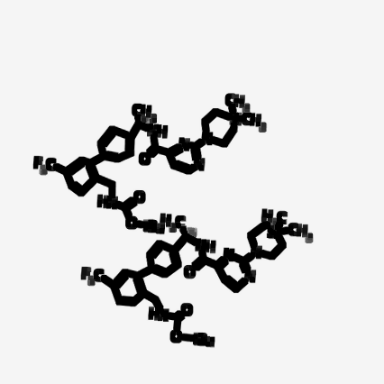 C[C@@H](NC(=O)c1ccnc(N2CC[Si](C)(C)CC2)n1)c1ccc(-c2cc(C(F)(F)F)ccc2CNC(=O)OC(C)(C)C)cc1.C[C@@H](NC(=O)c1ccnc(N2CC[Si](C)(C)CC2)n1)c1ccc(-c2cc(C(F)(F)F)ccc2CNC(=O)OC(C)(C)C)cc1